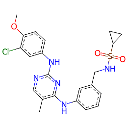 COc1ccc(Nc2ncc(C)c(Nc3cccc(CNS(=O)(=O)C4CC4)c3)n2)cc1Cl